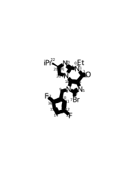 CCN1C(=O)c2nc(Br)n(Cc3cc(F)ccc3F)c2N2C[C@@H](C(C)C)N=C12